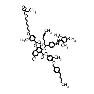 CC#CCCC/C(=N\c1c(Cl)c(OC(=O)c2ccc(OCCCCCCOCC3(CC)COC3)c(C)c2)c2ccc(Cl)cc2c1C(=O)Oc1ccc(OCc2ccc(CCCCC)cc2)c(C)c1)c1ccc(/N=N/c2c(C)cc(C)cc2C)cc1